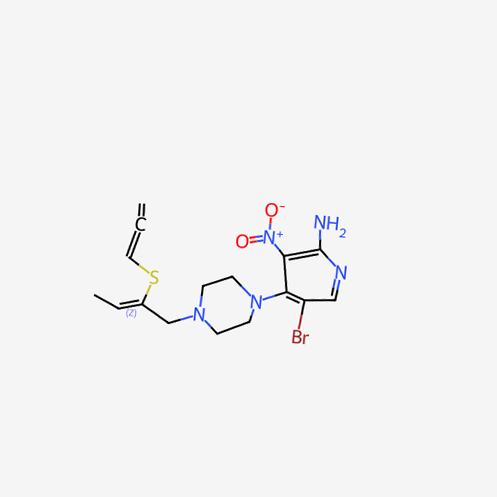 C=C=CS/C(=C\C)CN1CCN(c2c(Br)cnc(N)c2[N+](=O)[O-])CC1